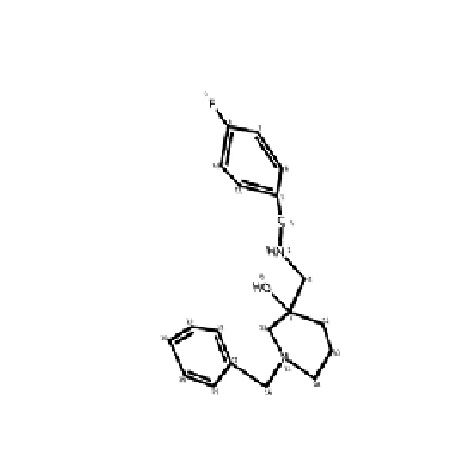 OC1(CNCc2ccc(F)cc2)CCCN(Cc2ccccc2)C1